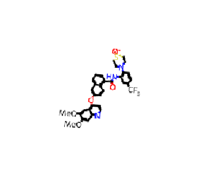 COc1cc2nccc(Oc3ccc4c(C(=O)Nc5cc(C(F)(F)F)ccc5N5CC[S+]([O-])CC5)cccc4c3)c2cc1OC